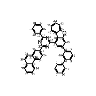 c1ccc(-c2cccc(-c3cc(-c4nc(-c5ccccc5)nc(-c5ccc6c(ccc7ccccc76)c5)n4)c4c(c3)oc3ccccc34)c2)cc1